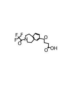 O=C(O)CCC(=O)c1ccc2c(c1)CCN(C(=O)C(F)(F)F)CC2